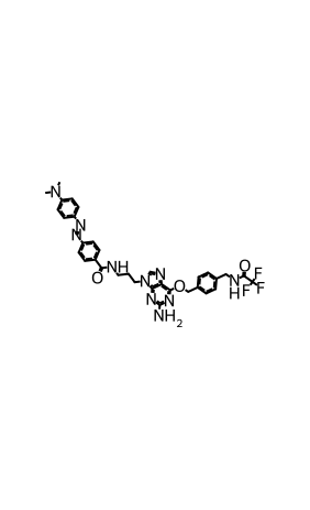 CN(C)c1ccc(N=Nc2ccc(C(=O)NCCCn3cnc4c(OCc5ccc(CNC(=O)C(F)(F)F)cc5)nc(N)nc43)cc2)cc1